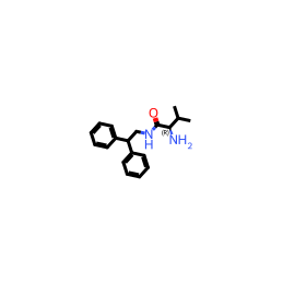 CC(C)[C@@H](N)C(=O)NCC(c1ccccc1)c1ccccc1